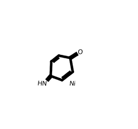 N=C1C=CC(=O)C=C1.[Ni]